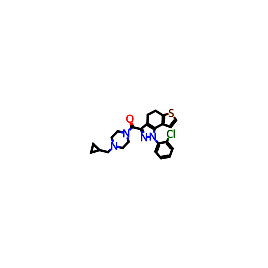 O=C(c1nn(-c2ccccc2Cl)c2c1CCc1sccc1-2)N1CCN(CC2CC2)CC1